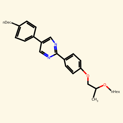 CCCCCCCCCCc1ccc(-c2cnc(-c3ccc(OCC(C)OCCCCCC)cc3)nc2)cc1